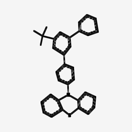 CC(C)(C)c1cc(-c2ccccc2)cc(-c2ccc(N3c4ccccc4Sc4ccccc43)cc2)c1